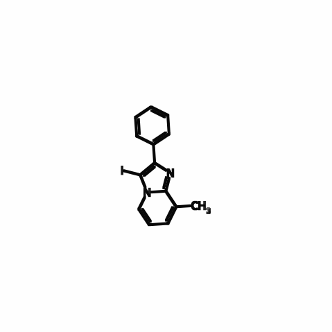 Cc1cccn2c(I)c(-c3ccccc3)nc12